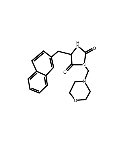 O=C1NC(Cc2ccc3ccccc3c2)C(=O)N1CN1CCOCC1